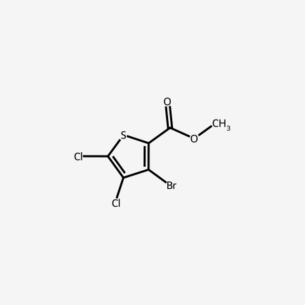 COC(=O)c1sc(Cl)c(Cl)c1Br